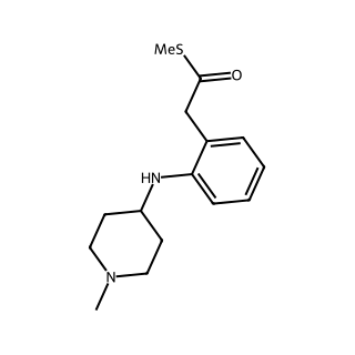 CSC(=O)Cc1ccccc1NC1CCN(C)CC1